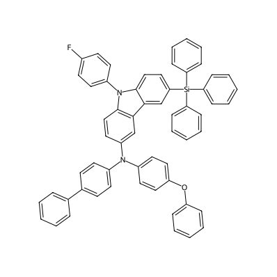 Fc1ccc(-n2c3ccc(N(c4ccc(Oc5ccccc5)cc4)c4ccc(-c5ccccc5)cc4)cc3c3cc([Si](c4ccccc4)(c4ccccc4)c4ccccc4)ccc32)cc1